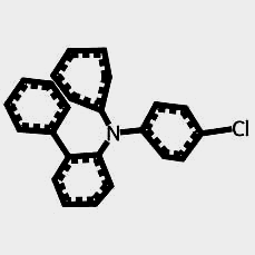 Clc1ccc(N(c2ccccc2)c2ccccc2-c2ccccc2)cc1